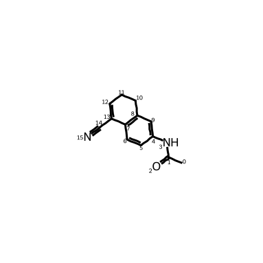 CC(=O)Nc1ccc2c(c1)CCC=C2C#N